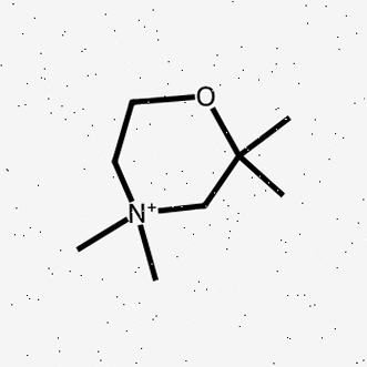 CC1(C)C[N+](C)(C)CCO1